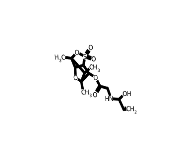 C=CC(O)NCC(=O)OC1C2C3OC1(C)C(C)C3(C)OS2(=O)=O